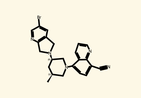 C[C@H]1C[C@@H](N2Cc3cc(Br)cnc3C2)CN(c2ccc(C#N)c3ncccc23)C1